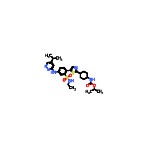 CCNS(=O)(=O)c1cc(Nc2cc(C(C)C)cnn2)ccc1-c1cnc(C2CCC(NC(=O)OC(C)C)CC2)s1